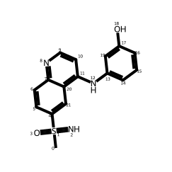 CS(=N)(=O)c1ccc2nccc(Nc3cccc(O)c3)c2c1